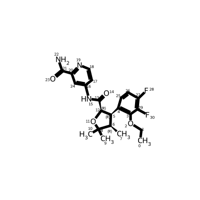 CCOc1c([C@H]2[C@@H](C)C(C)(C)O[C@H]2C(=O)Nc2ccnc(C(N)=O)c2)ccc(F)c1F